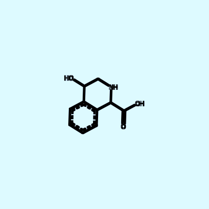 O=C(O)C1NCC(O)c2ccccc21